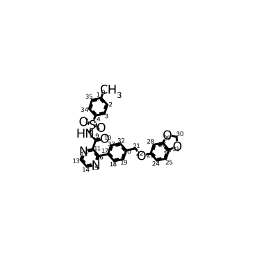 Cc1ccc(S(=O)(=O)NC(=O)c2nccnc2-c2ccc(COc3ccc4c(c3)OCO4)cc2)cc1